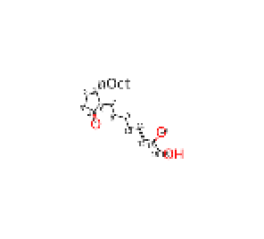 CCCCCCCC[C@H]1CCC(=O)[C@@H]1CCCCC=CC(=O)CO